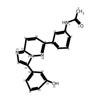 CC(=O)Nc1cccc(-c2ccc3ncc(-c4cccc(O)c4)n3n2)c1